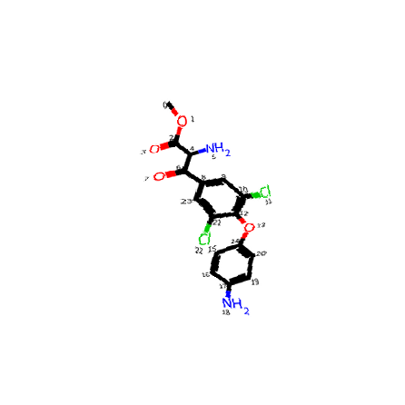 COC(=O)C(N)C(=O)c1cc(Cl)c(Oc2ccc(N)cc2)c(Cl)c1